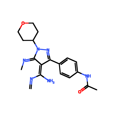 C=N/C(N)=C1/C(c2ccc(NC(C)=O)cc2)=NN(C2CCOCC2)/C1=N/C